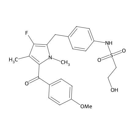 COc1ccc(C(=O)c2c(C)c(F)c(Cc3ccc(NS(=O)(=O)CCO)cc3)n2C)cc1